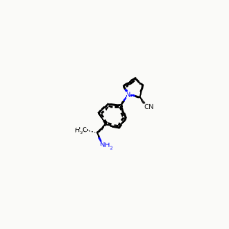 C[C@@H](N)c1ccc(N2C=CCC2C#N)cc1